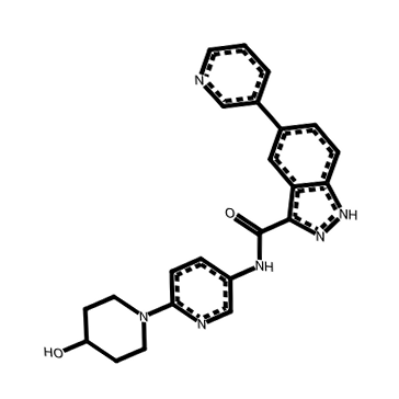 O=C(Nc1ccc(N2CCC(O)CC2)nc1)c1n[nH]c2ccc(-c3cccnc3)cc12